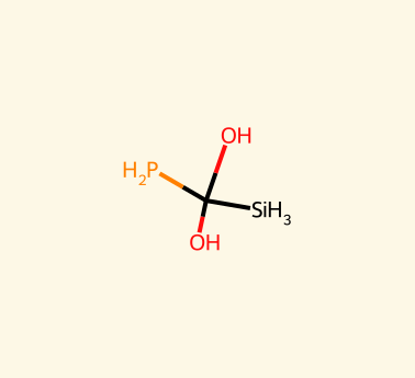 OC(O)([SiH3])P